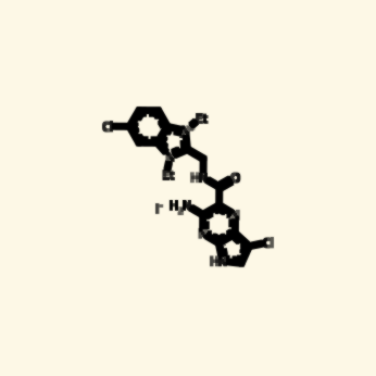 CCn1c(CNC(=O)c2nc3c(Cl)c[nH]c3nc2N)[n+](CC)c2ccc(Cl)cc21.[I-]